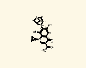 O=C(O)c1cn(C2CC2)c2c(F)c(N3CCN4CC3C4)c(F)cc2c1=O